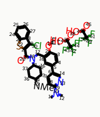 CCOc1ccc(-c2ccc(N(C)C)nc2)cc1CN(C(=O)c1sc2ccccc2c1Cl)C1CCC(NC)CC1.O=C(O)C(F)(F)F.O=C(O)C(F)(F)F